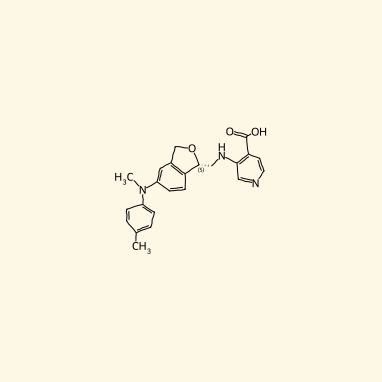 Cc1ccc(N(C)c2ccc3c(c2)CO[C@@H]3CNc2cnccc2C(=O)O)cc1